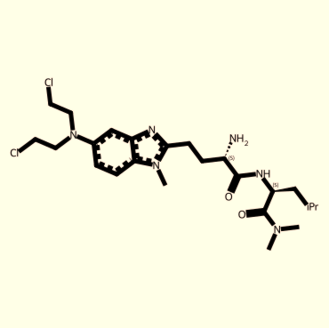 CC(C)C[C@H](NC(=O)[C@@H](N)CCc1nc2cc(N(CCCl)CCCl)ccc2n1C)C(=O)N(C)C